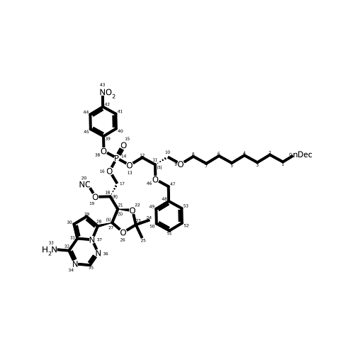 CCCCCCCCCCCCCCCCCCOC[C@@H](COP(=O)(OC[C@@H](OC#N)[C@H]1OC(C)(C)O[C@H]1c1ccc2c(N)ncnn12)Oc1ccc([N+](=O)[O-])cc1)OCc1ccccc1